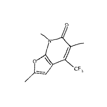 Cc1cc2c(C(F)(F)F)c(C)c(=O)n(C)c2o1